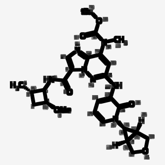 CO[C@H]1C[C@H](C)C1NC(=O)c1cnc2c(N(C)C(=O)OC(C)(C)C)cc(Nc3cccn([C@H]4[C@@H]5COC[C@@H]54)c3=O)nn12